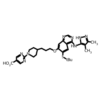 Cc1n[nH]c(Nc2ncnc3cc(OCCCC4CCN(c5ncc(C(=O)O)cn5)CC4)c(SC(C)(C)C)cc23)c1C